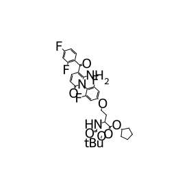 CC(C)(C)OC(=O)NC(CCOc1cc(F)c(-n2c(N)c(C(=O)c3ccc(F)cc3F)ccc2=O)c(F)c1)C(=O)OC1CCCC1